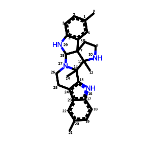 Cc1ccc2c(c1)C13CCNC1(C)C1(C)c4[nH]c5ccc(C)cc5c4CCN1C3N2